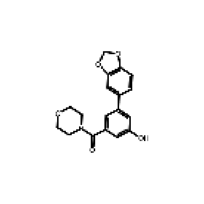 O=C(c1cc(O)cc(-c2ccc3c(c2)OCO3)c1)N1CCOCC1